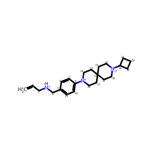 C=CCNCc1ccc(N2CCC3(CC2)CCN(C2CCC2)CC3)cc1